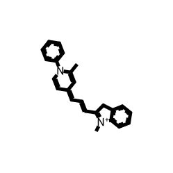 CC1=C/C(=C\C=C\C2=[N+](C)c3ccccc3C2)C=CN1c1ccccc1